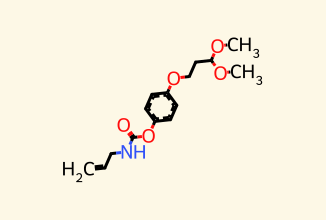 C=CCNC(=O)Oc1ccc(OCCC(OC)OC)cc1